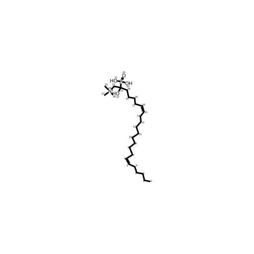 CCCCC/C=C\CCCCCCCC/C=C\CCCCC(O)(C[N+](C)(C)C)P(=O)(O)O